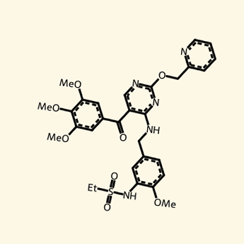 CCS(=O)(=O)Nc1cc(CNc2nc(OCc3ccccn3)ncc2C(=O)c2cc(OC)c(OC)c(OC)c2)ccc1OC